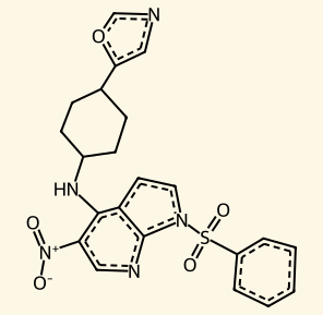 O=[N+]([O-])c1cnc2c(ccn2S(=O)(=O)c2ccccc2)c1NC1CCC(c2cnco2)CC1